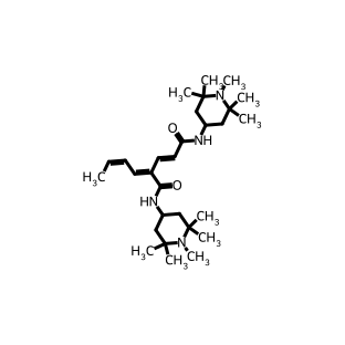 C\C=C/C=C(\C=C\C(=O)NC1CC(C)(C)N(C)C(C)(C)C1)C(=O)NC1CC(C)(C)N(C)C(C)(C)C1